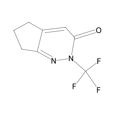 O=c1cc2c(nn1C(F)(F)F)CCC2